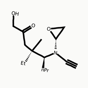 C#CN([C@@H](CCC)[C@@](C)(CC)CC(=O)CO)[C@H]1CO1